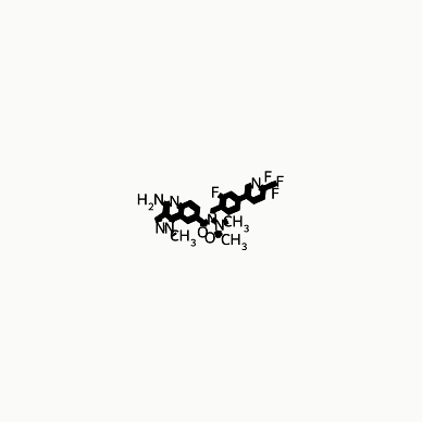 CC(=O)N(C)N(Cc1ccc(-c2ccc(C(F)(F)F)nc2)cc1F)C(=O)c1ccc2nc(N)c3cnn(C)c3c2c1